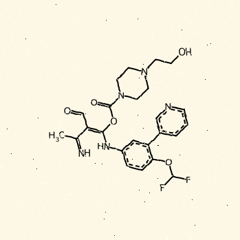 CC(=N)/C(C=O)=C(\Nc1ccc(OC(F)F)c(-c2cccnc2)c1)OC(=O)N1CCN(CCO)CC1